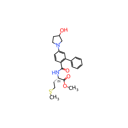 COC(=O)[C@H](CCSC)NC(=O)c1ccc(N2CCC(O)C2)cc1-c1ccccc1